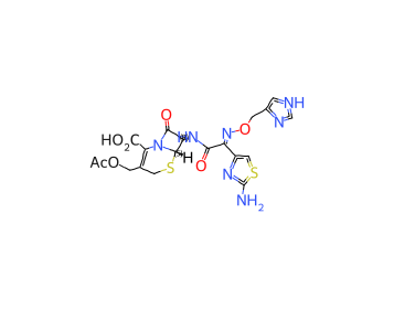 CC(=O)OCC1=C(C(=O)O)N2C(=O)[C@@H](NC(=O)C(=NOCc3c[nH]cn3)c3csc(N)n3)[C@@H]2SC1